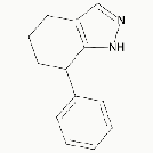 c1ccc(C2CCCc3cn[nH]c32)cc1